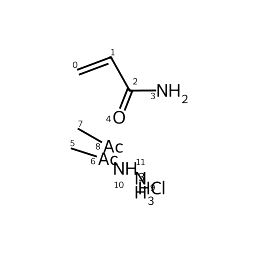 C=CC(N)=O.CC(C)=O.CC(C)=O.Cl.N.N